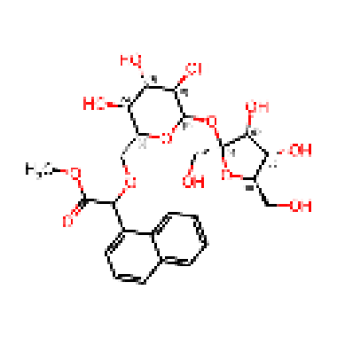 COC(=O)C(OC[C@H]1O[C@H](O[C@]2(CO)O[C@H](CO)[C@@H](O)[C@@H]2O)[C@H](O)[C@@H](O)[C@@H]1O)c1cccc2ccccc12